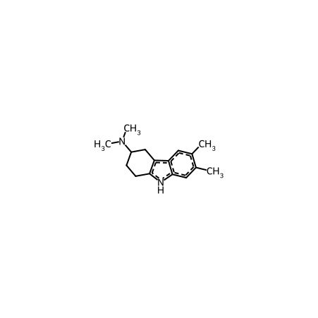 Cc1cc2[nH]c3c(c2cc1C)CC(N(C)C)CC3